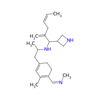 C=C(C/C=C\C)C(NC(C)CC1=CC(C)=C(/C=N\C)CC1)C1CNC1